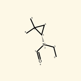 C[CH]N(C=O)[C@H]1CC1(C)C